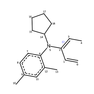 C=C/C(=C\C)N(c1ccc(C)cc1C)C1CCCC1